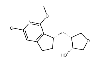 COc1nc(Cl)cc2c1[C@H](C[C@@H]1COC[C@@H]1O)CC2